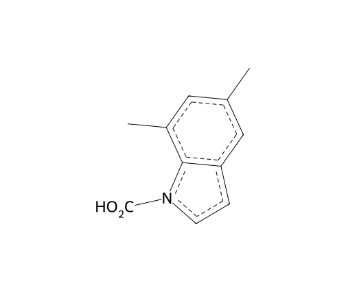 Cc1cc(C)c2c(ccn2C(=O)O)c1